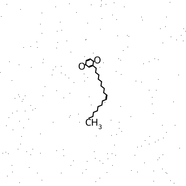 CCCCCCCC/C=C\CCCCCCCCC1=CC(=O)C=CC1=O